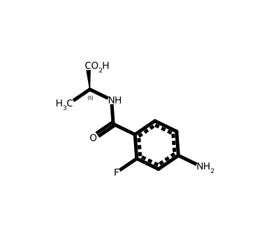 C[C@H](NC(=O)c1ccc(N)cc1F)C(=O)O